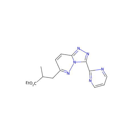 CCOC(=O)C(C)Cc1ccc2nnc(-c3ncccn3)n2n1